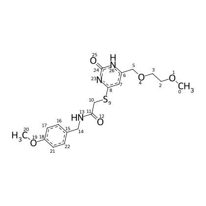 COCCOCc1cc(SCC(=O)NCc2ccc(OC)cc2)nc(=O)[nH]1